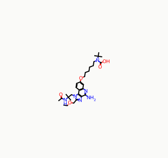 CCOCc1nc2c(N)nc3cc(OCCCCCCN(C(=O)O)C(C)(C)C)ccc3c2n1CC(C)(C)NC(C)=O